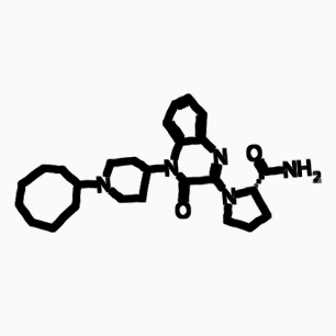 NC(=O)[C@@H]1CCCN1c1nc2ccccc2n(C2CCN(C3CCCCCCC3)CC2)c1=O